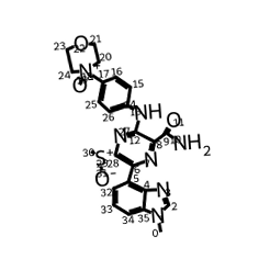 Cn1cnc2c(-c3nc(C(N)=O)c(Nc4ccc([N+]5([O-])CCOCC5)cc4)nc3[S+](C)[O-])cccc21